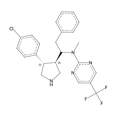 CN(c1ncc(C(F)(F)F)cn1)C(Cc1ccccc1)[C@H]1CNC[C@@H]1c1ccc(Cl)cc1